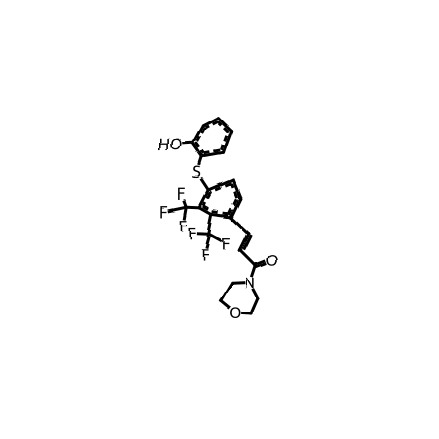 O=C(C=Cc1ccc(Sc2ccccc2O)c(C(F)(F)F)c1C(F)(F)F)N1CCOCC1